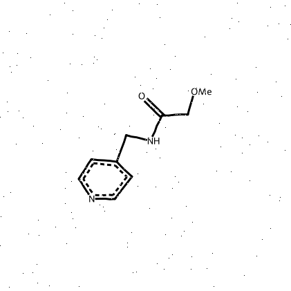 COCC(=O)NCc1ccncc1